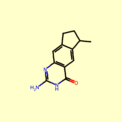 CC1CCc2cc3nc(N)[nH]c(=O)c3cc21